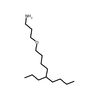 CCCCC(CCC)CCCCOCCCN